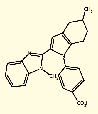 CC1CCc2c(cc(-c3nc4ccccc4n3C)n2-c2ccc(C(=O)O)cc2)C1